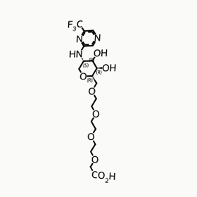 O=C(O)COCCOCCOCCOC[C@H]1OC[C@H](Nc2cncc(C(F)(F)F)n2)[C@@H](O)[C@H]1O